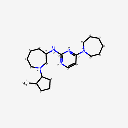 CC1CCCC1N1CCCCC(Nc2nccc(N3CCCCCC3)n2)C1